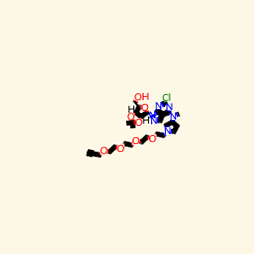 C#CCOCCOCCOCCOCCN1CCC(N(C)c2nc(Cl)nc3c2cnn3[C@@H]2O[C@H](CO)[C@H]3OC(C)(C)O[C@H]32)C1